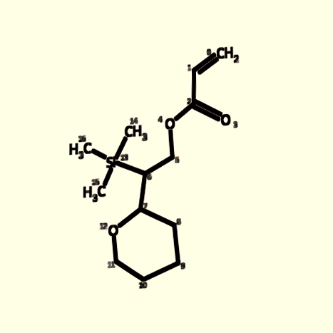 C=CC(=O)OCC(C1CCCCO1)[Si](C)(C)C